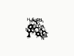 CNC(C)C(=O)N[C@@H]1C(=O)N(Cc2c(C3CC3)cnc3ccccc23)c2ccc(C#N)cc2N(C(=O)C2CCOCC2)[C@H]1C.Cl.Cl